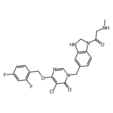 CNCC(=O)N1CNc2cc(Cn3cnc(OCc4ccc(F)cc4F)c(Cl)c3=O)ccc21